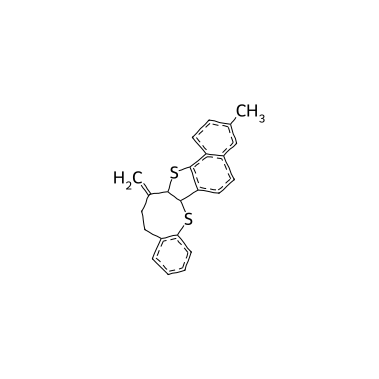 C=C1CCc2ccccc2SC2c3ccc4cc(C)ccc4c3SC12